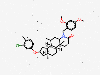 COc1ccc(CN2C(=O)CC[C@@]3(C)C2CC(C)[C@@H]2[C@H]3CC[C@]3(C)CC(Oc4ccc(C)c(Cl)c4)C[C@@H]23)c(OC)c1